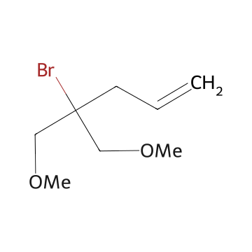 C=CCC(Br)(COC)COC